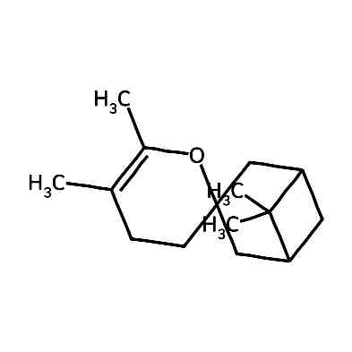 CC1=C(C)OC2(CC1)CC1CC(C2)C1(C)C